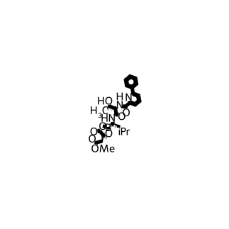 COC(=O)C[C@@H]1OB([C@H](CC(C)C)NC(=O)C(NC(=O)c2cccc(-c3ccccc3)n2)[C@@H](C)O)OC1=O